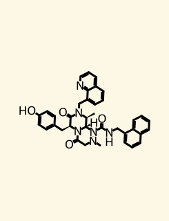 C[C@H]1[C@H]2N(C(=O)CN(C)N2C(=O)NCc2cccc3ccccc23)[C@@H](Cc2ccc(O)cc2)C(=O)N1Cc1cccc2cccnc12